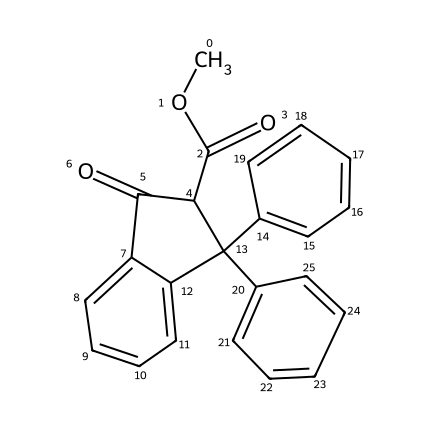 COC(=O)C1C(=O)c2ccccc2C1(c1ccccc1)c1ccccc1